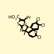 CC(C)C1=C(C(=O)O)SC2=N[C@@](C)(c3ccc(Cl)nc3)[C@@H](c3ccc(Cl)c(Cl)c3)N21